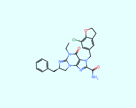 CCN1C(=O)c2c(nc(C(N)=O)n2Cc2cc(Cl)c3c(c2)CCO3)N2C[C@@H](Cc3ccccc3)N=C12